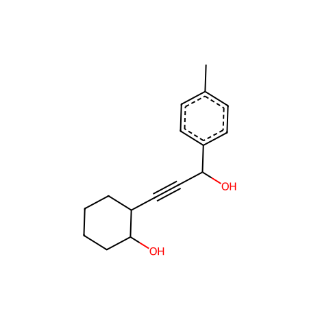 Cc1ccc(C(O)C#CC2CCCCC2O)cc1